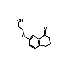 O=C1CCCc2ccc(OCCO)cc21